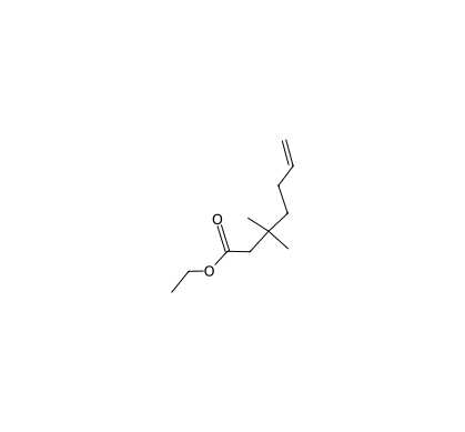 C=CCCC(C)(C)CC(=O)OCC